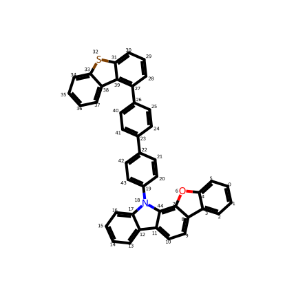 c1ccc2c(c1)oc1c2ccc2c3ccccc3n(-c3ccc(-c4ccc(-c5cccc6sc7ccccc7c56)cc4)cc3)c21